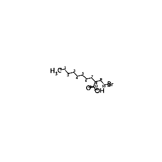 CCCCCCCCC(CCBr)C(=O)O